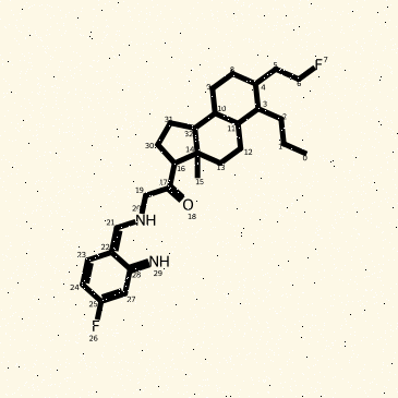 CCCC1C(CCF)CCC2C1CCC1(C)C(C(=O)CN/C=C3/C=CC(F)=CC3=N)CCC21